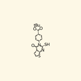 CC(C)(C)OC(=O)c1ccc(-n2c(S)nc3sccc3c2=O)cc1